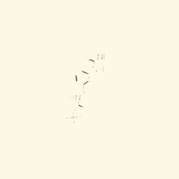 Cc1c(CNC(=O)OC(C)(C)C)cccc1NC(N)=S